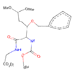 CCOC(=O)CNC(=O)C(NC(=O)OC(C)(C)C)C(CC(OC)OC)OCc1ccccc1